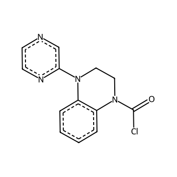 O=C(Cl)N1CCN(c2cnccn2)c2ccccc21